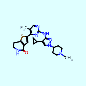 CN1CCC(n2cc(C3CC3)c(Nc3ncc(C(F)(F)F)c(-c4cc5c(s4)CCNC5=O)n3)n2)CC1